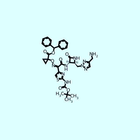 CC(C)(C)OC(=O)Nc1nc(C(=NOC2(C(=O)OC(c3ccccc3)c3ccccc3)CC2)C(=O)N[C@@H]2C(=O)N[C@H]2Cn2ncc(CN)n2)cs1